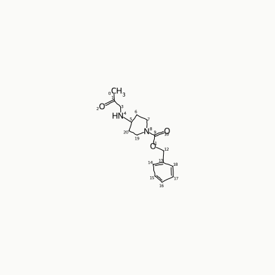 CC(=O)CNC1CCN(C(=O)OCc2ccccc2)CC1